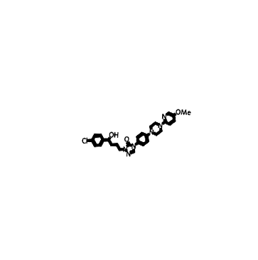 COc1ccc(N2CCN(c3ccc(-n4cnn(CCCC(O)c5ccc(Cl)cc5)c4=O)cc3)CC2)nc1